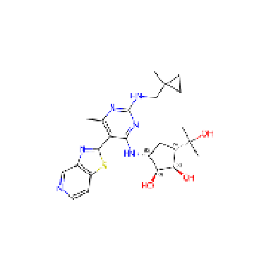 Cc1nc(NCC2(C)CC2)nc(N[C@@H]2C[C@H](C(C)(C)O)[C@@H](O)[C@H]2O)c1-c1nc2cnccc2s1